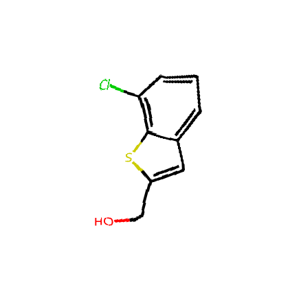 OCc1cc2cccc(Cl)c2s1